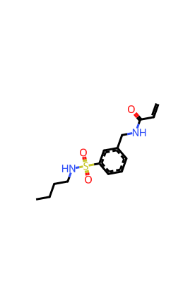 C=CC(=O)NCc1cccc(S(=O)(=O)NCCCC)c1